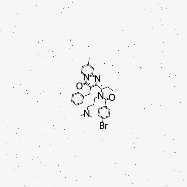 CCC(c1nc2cc(C)ccn2c(=O)c1Cc1ccccc1)N(CCCN(C)C)C(=O)c1ccc(Br)cc1